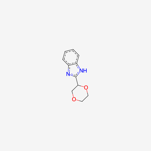 c1ccc2[nH]c(C3COCCO3)nc2c1